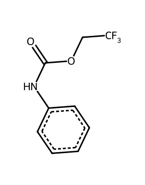 O=C(Nc1ccccc1)OCC(F)(F)F